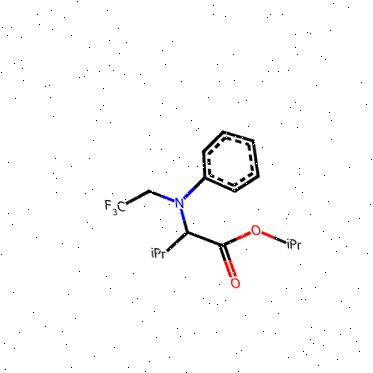 CC(C)OC(=O)C(C(C)C)N(CC(F)(F)F)c1ccccc1